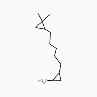 CC1(C)CC1CCCCCC1CC1C(=O)O